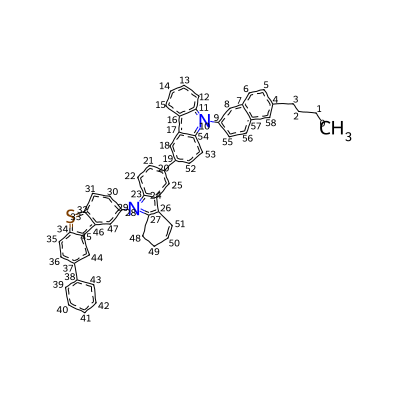 CCCCc1ccc2cc(-n3c4ccccc4c4cc(-c5ccc6c(c5)c5c(n6-c6ccc7sc8ccc(-c9ccccc9)cc8c7c6)CCC=C5)ccc43)ccc2c1